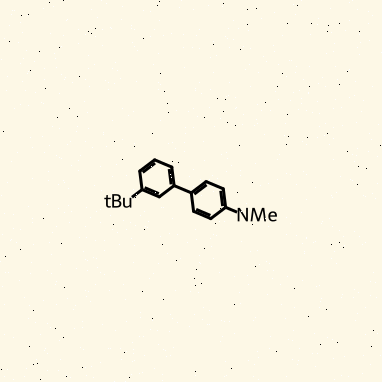 CNc1ccc(-c2cccc(C(C)(C)C)c2)cc1